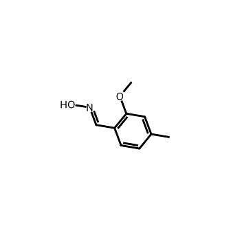 COc1cc(C)ccc1/C=N/O